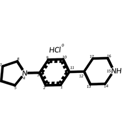 Cl.c1cc(N2CCCC2)ccc1C1CCNCC1